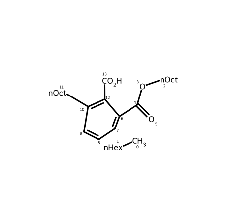 CCCCCCC.CCCCCCCCOC(=O)c1cccc(CCCCCCCC)c1C(=O)O